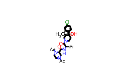 CC(=O)N1CCN(C(C)=O)C(C(=O)NC(C(=O)N2CCC(O)(c3ccc(Cl)cc3)C(C)(C)C2)C(C)C)C1